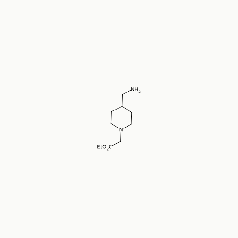 CCOC(=O)CN1CCC(CN)CC1